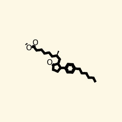 CCCCCCc1ccc(C2CCC(=O)C2C[C@H](C)CCCCCC(=O)OC)cc1